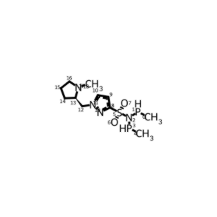 CPN(PC)S(=O)(=O)c1ccn(C[C@H]2CCCN2C)n1